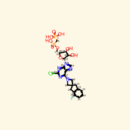 O=P(O)(O)CP(=O)(O)OC[C@H]1O[C@@H](n2cnc3c(N4CC5(Cc6cccc(F)c6C5)C4)nc(Cl)nc32)C(O)C1O